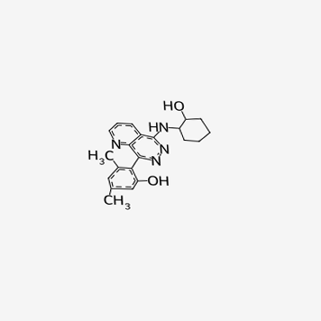 Cc1cc(C)c(-c2nnc(NC3CCCCC3O)c3cccnc23)c(O)c1